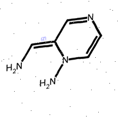 N/C=C1/C=NC=CN1N